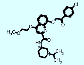 COCCOc1cc(C(=O)N[C@@H]2CCCN(C(C)C)C2)nc2c(OCC(=O)c3ccc(Cl)cc3)cccc12